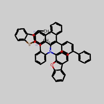 C/C=c1\c(=C(/C)c2ccccc2N(C2=C=C=Cc3c2oc2ccccc32)c2c(-c3ccc(-c4ccccc4)cc3)c3ccccc3c3ccccc23)sc2ccccc12